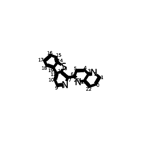 c1cnc2ccc(-c3nccc4c3sc3ccccc34)nc2c1